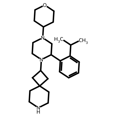 CC(C)c1ccccc1C1CN(C2CCOCC2)CCN1C1CC2(CCNCC2)C1